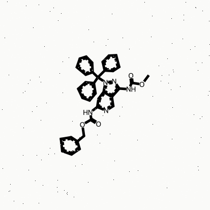 COC(=O)Nc1nn(C(c2ccccc2)(c2ccccc2)c2ccccc2)c2cc(NC(=O)OCc3ccccc3)ncc12